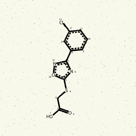 O=C(O)CSc1nc(-c2cccc(Cl)c2)no1